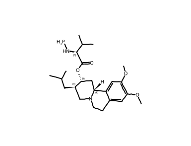 COc1cc2c(cc1OC)[C@H]1C[C@@H](OC(=O)[C@@H](NP)C(C)C)[C@H](CC(C)C)CN1CC2